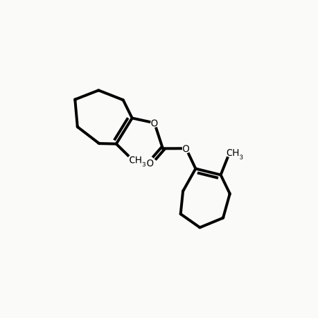 CC1=C(OC(=O)OC2=C(C)CCCCC2)CCCCC1